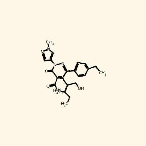 CCc1ccc(-c2nn(-c3cnn(C)c3)c(=O)c(C(N)=O)c2C(CO)C(C)CC)cc1